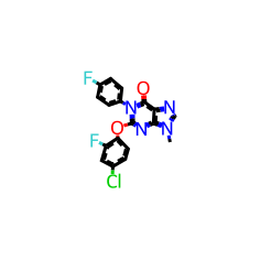 Cn1cnc2c(=O)n(-c3ccc(F)cc3)c(Oc3ccc(Cl)cc3F)nc21